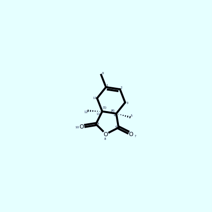 CC1=CC[C@@]2(C)C(=O)OC(=O)[C@@]2(C)C1